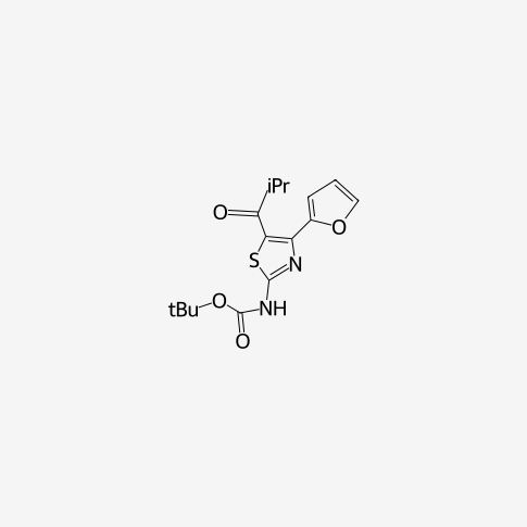 CC(C)C(=O)c1sc(NC(=O)OC(C)(C)C)nc1-c1ccco1